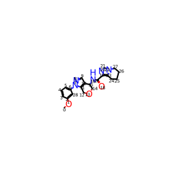 COc1cccc(-n2ncc3c2COC[C@@H]3NC(=O)c2ncn3c2CCCC3)c1